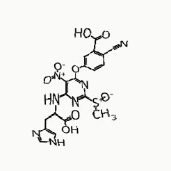 C[S+]([O-])c1nc(NC(Cc2c[nH]cn2)C(=O)O)c([N+](=O)[O-])c(Oc2ccc(C#N)c(C(=O)O)c2)n1